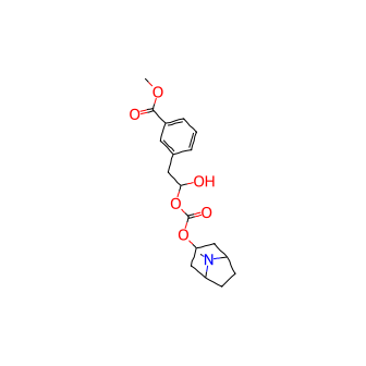 COC(=O)c1cccc(CC(O)OC(=O)OC2CC3CCC(C2)N3C)c1